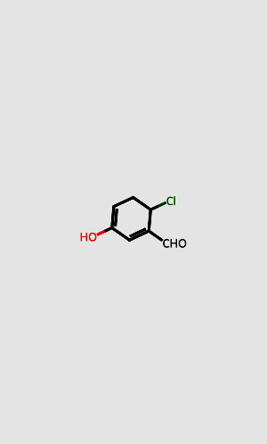 O=CC1=CC(O)=CCC1Cl